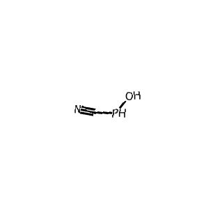 N#CPO